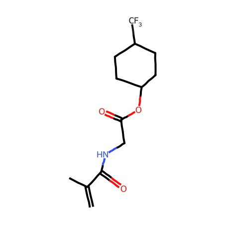 C=C(C)C(=O)NCC(=O)OC1CCC(C(F)(F)F)CC1